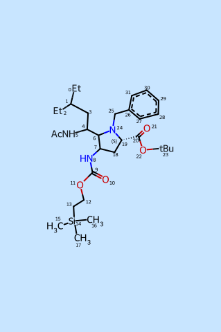 CCC(CC)CC(NC(C)=O)C1C(NC(=O)OCC[Si](C)(C)C)C[C@@H](C(=O)OC(C)(C)C)N1Cc1ccccc1